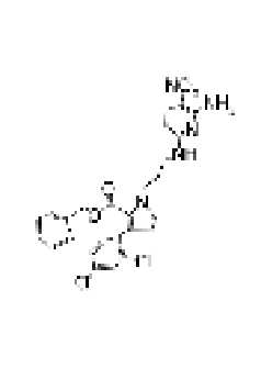 Nc1nc(NCCCn2ccc(-c3ccc(Cl)cc3Cl)c2C(=O)OCc2ccccc2)ccc1[N+](=O)[O-]